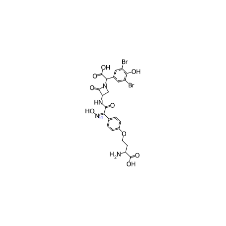 NC(CCOc1ccc(/C(=N/O)C(=O)NC2CN(C(C(=O)O)c3cc(Br)c(O)c(Br)c3)C2=O)cc1)C(=O)O